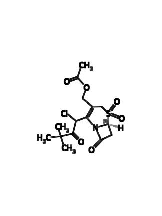 CC(=O)OCC1=C(C(Cl)C(=O)C(C)(C)C)N2C(=O)C[C@@H]2S(=O)(=O)C1